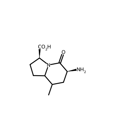 CC1C[C@H](N)C(=O)N2C1CC[C@H]2C(=O)O